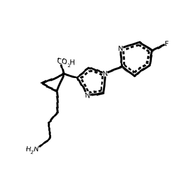 NCCCC1CC1(C(=O)O)c1cn(-c2ccc(F)cn2)cn1